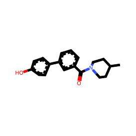 CC1CCN(C(=O)c2cccc(-c3ccc(O)cc3)c2)CC1